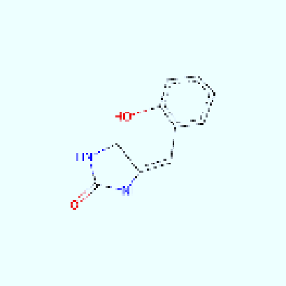 O=C1NC/C(=C\c2ccccc2O)N1